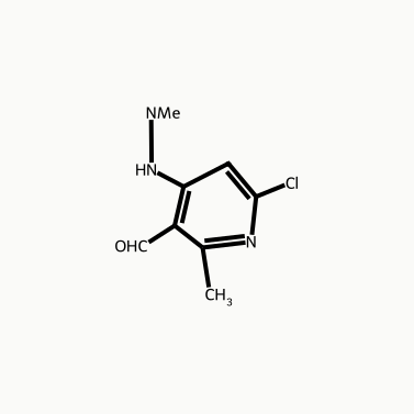 CNNc1cc(Cl)nc(C)c1C=O